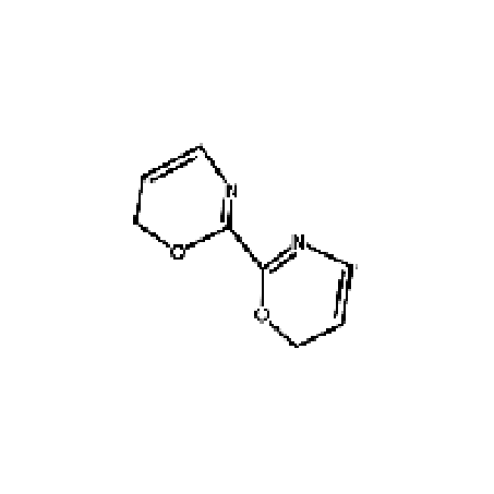 [C]1=CCOC(C2=NC=CCO2)=N1